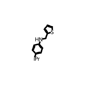 CC(C)c1ccc(NCc2cccs2)cc1